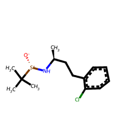 C[C@@H](CCc1ccccc1Cl)N[S@@+]([O-])C(C)(C)C